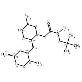 CC1CN(CC(=O)N(C)CC(C)(C)C)[C@@H](CN2C[C@H](C)OCC2C)CN1